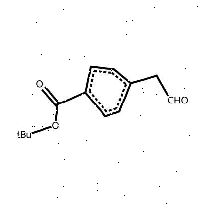 CC(C)(C)OC(=O)c1ccc(CC=O)cc1